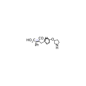 CC(C)/C(C(=O)O)=C(\Cc1ccc(OC2CCNC2)cc1)C(=O)O